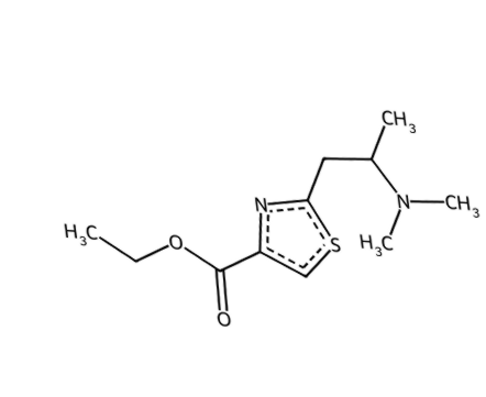 CCOC(=O)c1csc(CC(C)N(C)C)n1